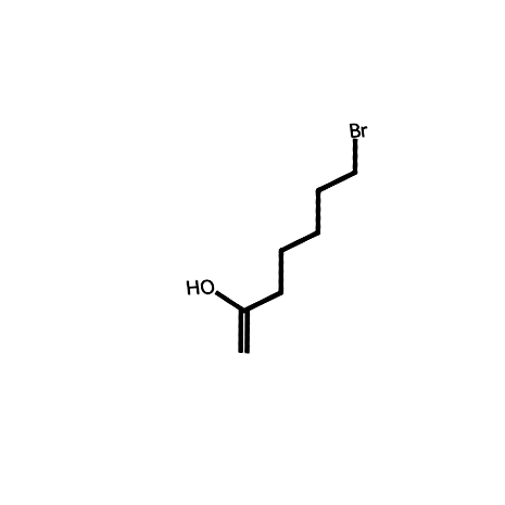 C=C(O)CCCCCBr